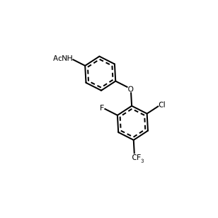 CC(=O)Nc1ccc(Oc2c(F)cc(C(F)(F)F)cc2Cl)cc1